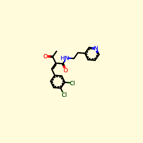 CC(=O)C(=Cc1ccc(Cl)c(Cl)c1)C(=O)NCCc1cccnc1